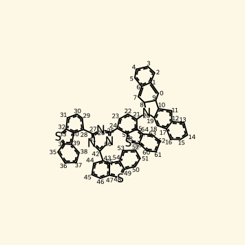 C1=c2ccccc2=CC2C1c1cc3ccccc3cc1N2c1ccc(-c2nc(-c3cccc4sc5ccccc5c34)nc(-c3cccc4sc5ccccc5c34)n2)c2sc3ccccc3c12